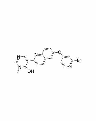 CN1[C]=NC=C(c2ccc3cc(Oc4ccnc(Br)c4)ccc3n2)C1O